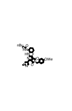 CCCCOC(=O)N[C@@H]1CCCC[C@@H]1Nc1nc(C2C=NN(C)C2)c2c(c1F)CN(Cc1ccc(OC)cc1OC)C2=O